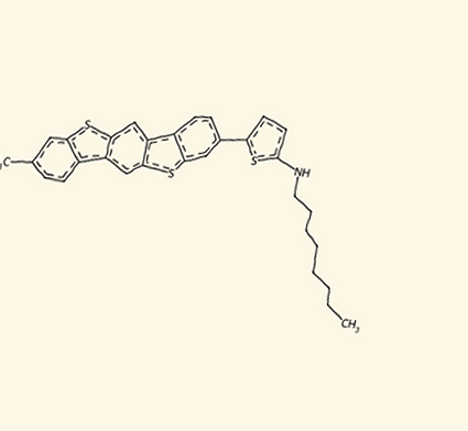 CCCCCCCCNc1ccc(-c2ccc3c(c2)sc2cc4c(cc23)sc2cc(C)ccc24)s1